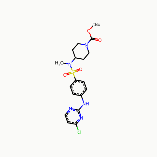 CN(C1CCN(C(=O)OC(C)(C)C)CC1)S(=O)(=O)c1ccc(Nc2nccc(Cl)n2)cc1